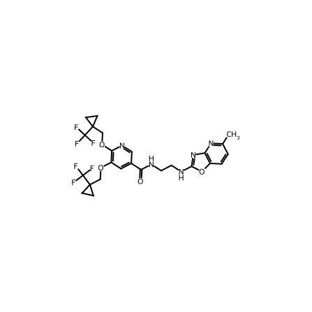 Cc1ccc2oc(NCCNC(=O)c3cnc(OCC4(C(F)(F)F)CC4)c(OCC4(C(F)(F)F)CC4)c3)nc2n1